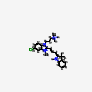 CC[n+]1c(C=CC=C2N(C)c3ccccc3C2(C)C)n(CCC[N+](C)(C)CC)c2ccc(Cl)cc21